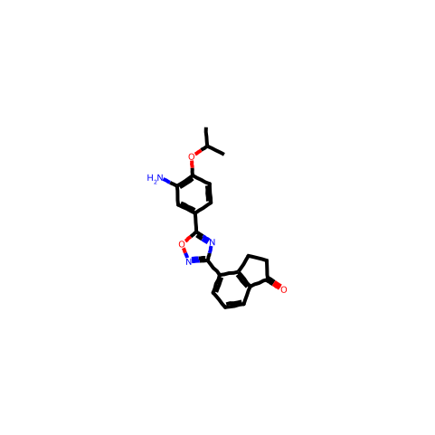 CC(C)Oc1ccc(-c2nc(-c3cccc4c3CCC4=O)no2)cc1N